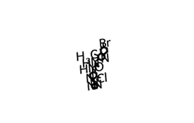 Cc1c(NC(=O)Nc2cnc(-n3nccn3)c(Cl)c2)cnc2ccc(Br)cc12